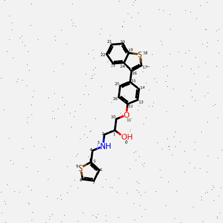 OC(CNCc1cccs1)COc1ccc(-c2csc3ccccc23)cc1